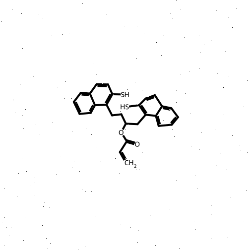 C=CC(=O)OC(CCc1c(S)ccc2ccccc12)Cc1c(S)ccc2ccccc12